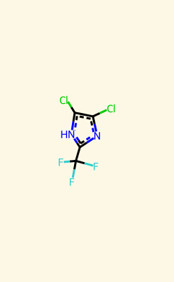 FC(F)(F)c1nc(Cl)c(Cl)[nH]1